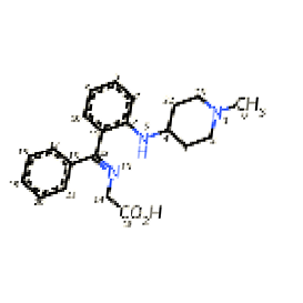 CN1CCC(Nc2ccccc2C(=NCC(=O)O)c2ccccc2)CC1